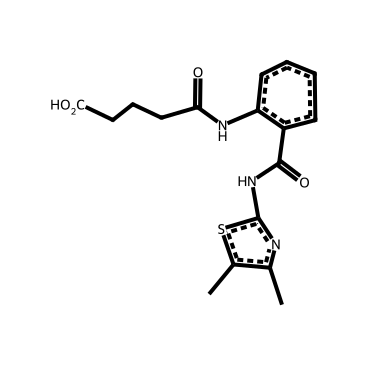 Cc1nc(NC(=O)c2ccccc2NC(=O)CCCC(=O)O)sc1C